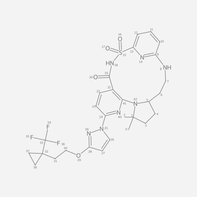 CC1(C)CCC2CCNc3cccc(n3)S(=O)(=O)NC(=O)c3ccc(-n4ccc(OCCC5(C(F)(F)F)CC5)n4)nc3N21